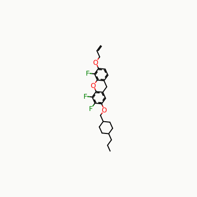 C=CCOc1ccc2c(c1F)Oc1c(cc(OCC3CCC(CCC)CC3)c(F)c1F)C2